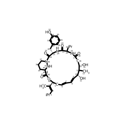 C/C(=C\C(C)C)[C@@H]1C/C=C/C=C/[C@@H](O)C(C)[C@@H](O)CC(=O)NC(C(C)C)C(=O)N[C@@H](Cc2cccc(O)c2)C(=O)N2CCC[C@H](N2)C(=O)O1